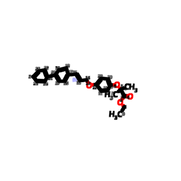 CCOC(=O)C(C)(C)Oc1ccc(OC/C=C/c2ccc(-c3ccccc3)cc2)cc1